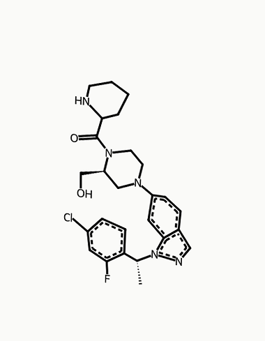 C[C@H](c1ccc(Cl)cc1F)n1ncc2ccc(N3CCN(C(=O)C4CCCCN4)[C@H](CO)C3)cc21